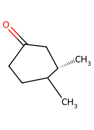 CC1CCC(=O)C[C@@H]1C